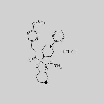 COC(=O)C(OC1CCNCC1)(C(=O)CCc1ccc(OC)cc1)N1CCN(c2ccncc2)CC1.Cl.Cl